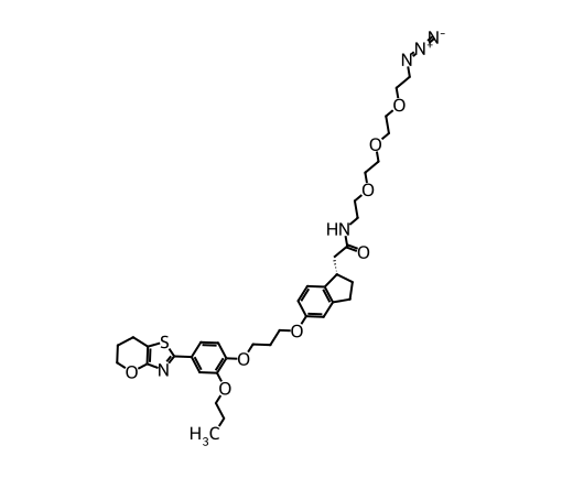 CCCOc1cc(-c2nc3c(s2)CCCO3)ccc1OCCCOc1ccc2c(c1)CC[C@H]2CC(=O)NCCOCCOCCOCCN=[N+]=[N-]